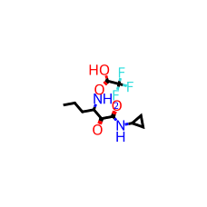 CCCC(N)C(=O)C(=O)NC1CC1.O=C(O)C(F)(F)F